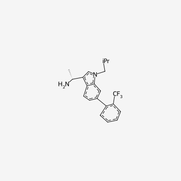 CC(C)Cn1cc([C@@H](C)N)c2ccc(-c3ccccc3C(F)(F)F)cc21